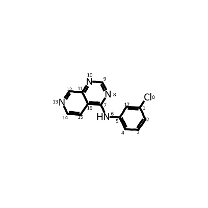 Clc1cccc(Nc2ncnc3cnccc23)c1